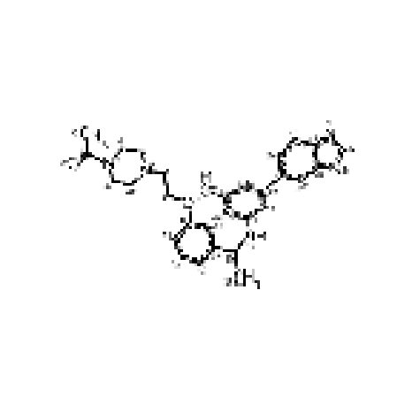 CC(=O)N1CCN(CCOc2cccc(C(C)Nc3cc(-c4ccc5ncsc5c4)nc(C)n3)c2)CC1